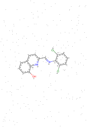 Oc1cccc2ccc(C=Nc3c(Cl)cccc3Cl)nc12